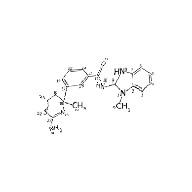 CN1c2ccccc2NC1NC(=O)c1cccc(C2(C)CCSC(N)=N2)c1